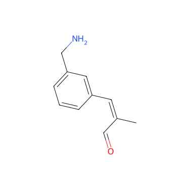 CC(C=O)=Cc1cccc(CN)c1